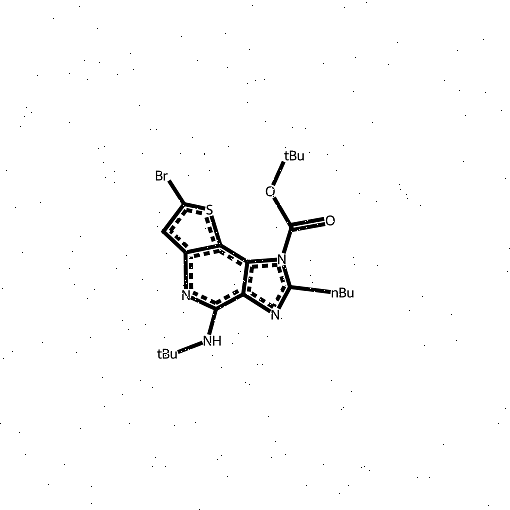 CCCCc1nc2c(NC(C)(C)C)nc3cc(Br)sc3c2n1C(=O)OC(C)(C)C